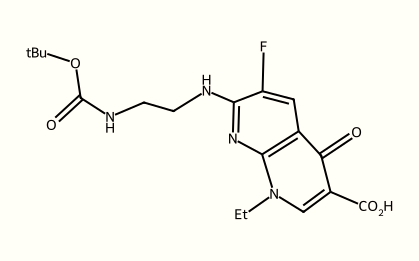 CCn1cc(C(=O)O)c(=O)c2cc(F)c(NCCNC(=O)OC(C)(C)C)nc21